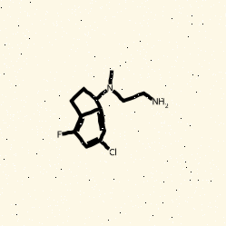 CN(CCN)C1CCc2c(F)cc(Cl)cc21